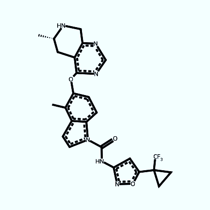 Cc1c(Oc2ncnc3c2C[C@H](C)NC3)ccc2c1ccn2C(=O)Nc1cc(C2(C(F)(F)F)CC2)on1